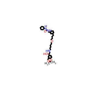 CC1(C)OCc2cc([C@@H](O)CNCCCCCCOCCCCc3cccc(CNC(=O)NC4CCCCC4)c3)ccc2O1